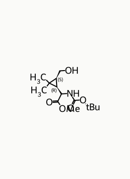 COC(=O)C(NC(=O)OC(C)(C)C)[C@@H]1[C@H](CO)C1(C)C